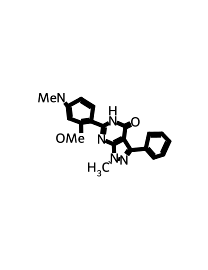 CNc1ccc(-c2nc3c(c(-c4ccccc4)nn3C)c(=O)[nH]2)c(OC)c1